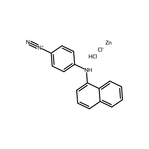 Cl.N#[N+]c1ccc(Nc2cccc3ccccc23)cc1.[Cl-].[Zn]